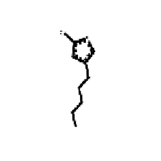 CCCCCc1csc(Cl)c1